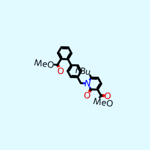 CCCCc1ccc(C(=O)OC)c(=O)n1Cc1ccc(-c2ccccc2C(=O)OC)cc1